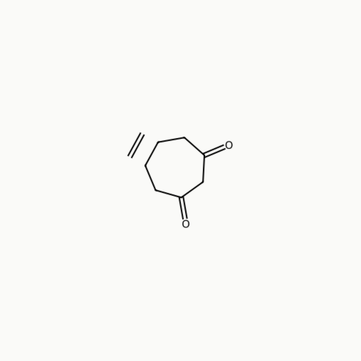 C=C.O=C1CCCCC(=O)C1